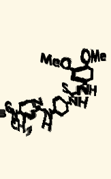 COc1ccc(NC(=S)NC2CCC(Nc3nccc(N(C)C)n3)CC2)cc1OC